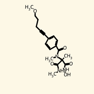 CNC(=O)[C@@](C)(C(=O)NO)N(C)C(=O)c1ccc(C#CCCCOC)cc1